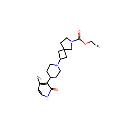 CCOC(=O)N1CCC2(CC(N3CCC(c4c(C)cc[nH]c4=O)CC3)C2)C1